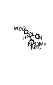 COc1ccc(-c2nc(-c3ccncc3)c(-c3cnc(N)c(OC)c3)[nH]2)cc1